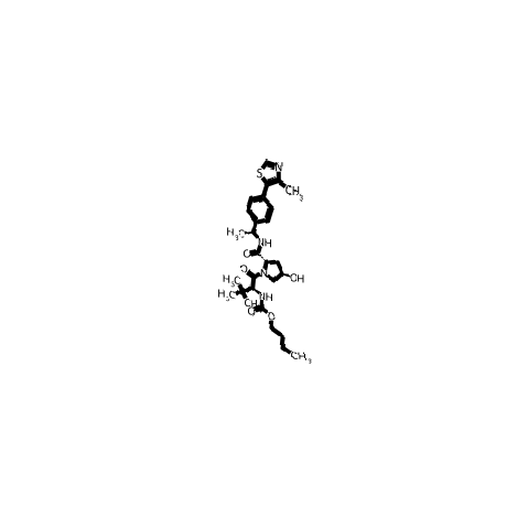 CCCCOC(=O)N[C@H](C(=O)N1C[C@H](O)C[C@H]1C(=O)N[C@@H](C)c1ccc(-c2scnc2C)cc1)C(C)(C)C